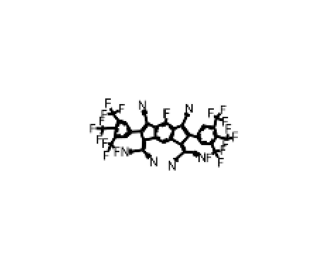 N#CC(C#N)=C1C(c2cc(C(F)(F)F)c(C(F)(F)F)c(C(F)(F)F)c2)=C(C#N)c2c1cc1c(c2F)C(C#N)=C(c2cc(C(F)(F)F)c(C(F)(F)F)c(C(F)(F)F)c2)C1=C(C#N)C#N